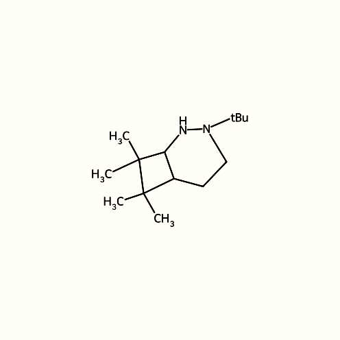 CC(C)(C)N1CCC2C(N1)C(C)(C)C2(C)C